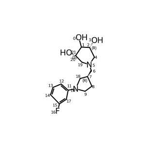 OC1[C@H](O)CN(C[C@H]2CCN(c3cccc(F)c3)C2)C[C@@H]1O